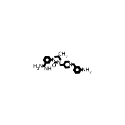 CC1CN(CC2CCN(Cc3cccc(N)c3)CC2)C(=O)N(c2cccc(C(=N)N)c2)C1